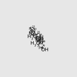 C[C@]12CC[C@H](O)CC1=CC[C@@H]1[C@@H]2CC[C@]2(C)C(c3cnc4sccn34)=CC[C@@H]12